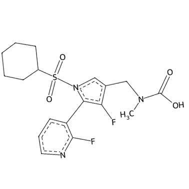 CN(Cc1cn(S(=O)(=O)C2CCCCC2)c(-c2cccnc2F)c1F)C(=O)O